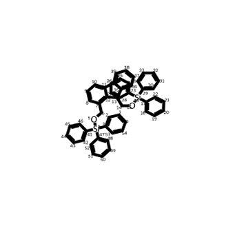 c1ccc([Si](OCc2cccc3c2C(CO[Si](c2ccccc2)(c2ccccc2)c2ccccc2)c2ccccc2-3)(c2ccccc2)c2ccccc2)cc1